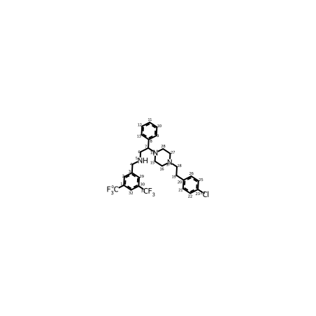 FC(F)(F)c1cc(CNCC(c2ccccc2)N2CCN(CCc3ccc(Cl)cc3)CC2)cc(C(F)(F)F)c1